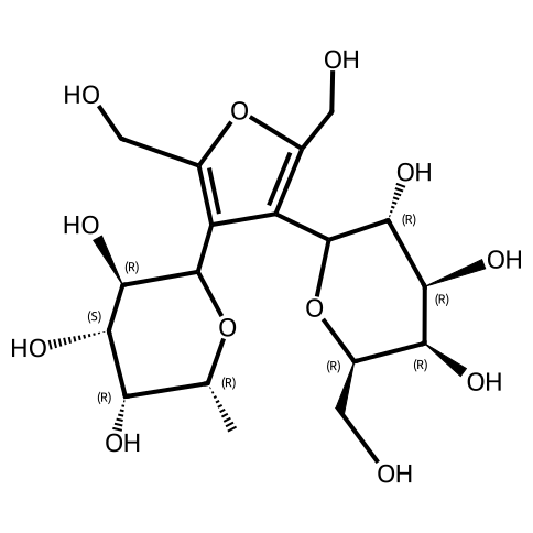 C[C@H]1OC(c2c(CO)oc(CO)c2C2O[C@H](CO)[C@H](O)[C@H](O)[C@H]2O)[C@H](O)[C@@H](O)[C@H]1O